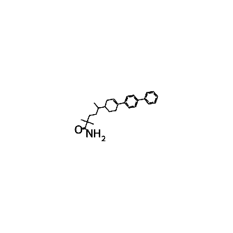 CC(CCC(C)(C)C(N)=O)C1CC=C(c2ccc(-c3ccccc3)cc2)CC1